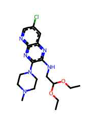 CCOC(CNc1nc2cc(Cl)cnc2nc1N1CCN(C)CC1)OCC